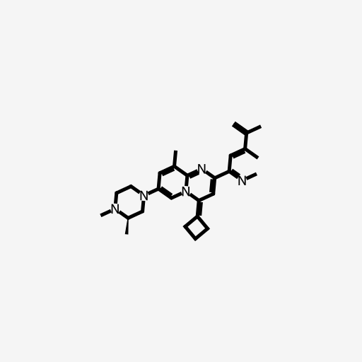 C=C(C)/C(C)=C/C(=N\C)C1=CC(=C2CCC2)N2C=C(N3CCN(C)[C@H](C)C3)C=C(C)C2=N1